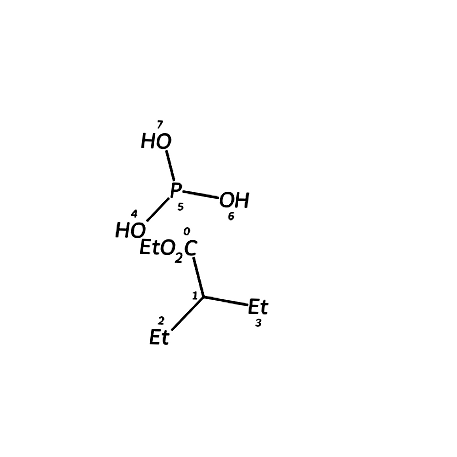 CCOC(=O)C(CC)CC.OP(O)O